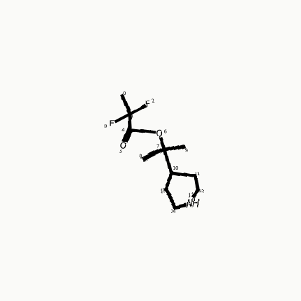 CC(F)(F)C(=O)OC(C)(C)C1CCNCC1